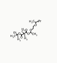 CCC(C)(C)OC(=O)C(C)(C)C(=O)OC(C)OCCOC(C)C(C)C